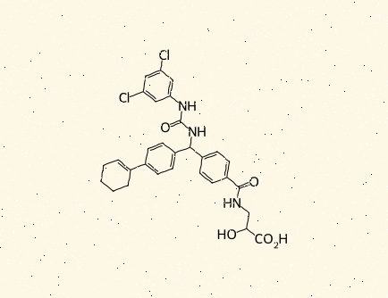 O=C(Nc1cc(Cl)cc(Cl)c1)NC(c1ccc(C(=O)NCC(O)C(=O)O)cc1)c1ccc(C2=CCCCC2)cc1